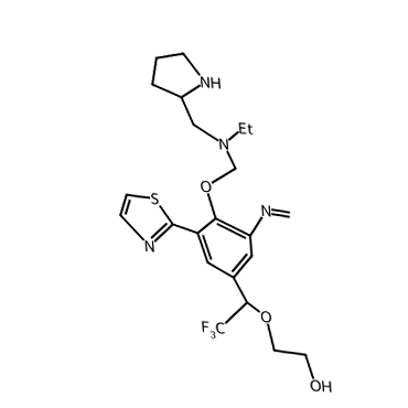 C=Nc1cc(C(OCCO)C(F)(F)F)cc(-c2nccs2)c1OCN(CC)CC1CCCN1